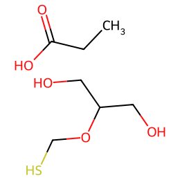 CCC(=O)O.OCC(CO)OCS